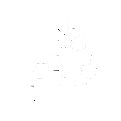 COC(=O)[C@@]1(C)CN(C(=O)CN2C[C@@H](C)N(C(=O)OC(C)(C)C)C[C@@H]2CN2CCOC[C@H]2C)c2cc(Cc3ccc(F)cc3)ccc21